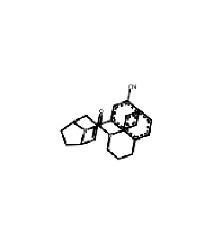 N#Cc1cccc(C2=CC3CCC(C2)N3C(=O)N2CCCc3ccccc32)c1